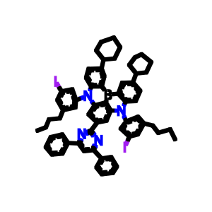 CCCCc1cc(I)cc(N2c3ccc(C4CCCCC4)cc3B3c4cc(C5CCCCC5)ccc4N(c4cc(I)cc(CCCC)c4)c4cc(-c5nc(-c6ccccc6)cc(-c6ccccc6)n5)cc2c43)c1